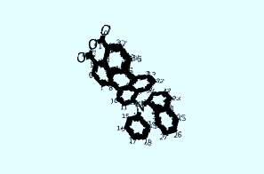 O=C1OC(=O)c2ccc3c4ccc(N(c5ccccc5)c5cccc6ccccc56)c5cccc(c6ccc1c2c63)c54